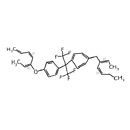 C=C/C=C\C(=C/C)Oc1ccc(C(c2ccc(CC(/C=C\CC)=C/C)cc2)(C(F)(F)F)C(F)(F)F)cc1